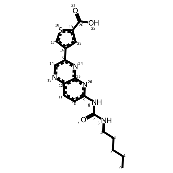 CCCCCNC(=O)Nc1ccc2ncc(-c3csc(C(=O)O)c3)nc2n1